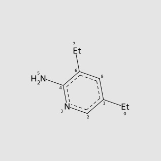 CCc1cnc(N)c(CC)c1